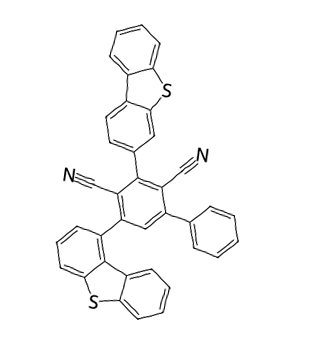 N#Cc1c(-c2ccccc2)cc(-c2cccc3sc4ccccc4c23)c(C#N)c1-c1ccc2c(c1)sc1ccccc12